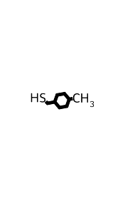 CC1CCC(CS)CC1